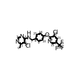 Cc1ncnc(NCc2ccc(Oc3ncc(C(F)(F)F)cc3Cl)cc2)c1Cl